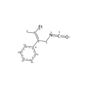 CCC(C)=C(CN=C=O)c1ccccc1